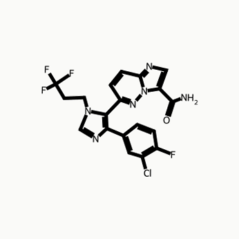 NC(=O)c1cnc2ccc(-c3c(-c4ccc(F)c(Cl)c4)ncn3CCC(F)(F)F)nn12